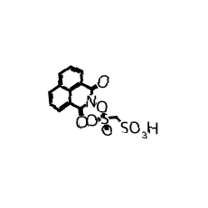 O=C1c2cccc3cccc(c23)C(=O)N1OS(=O)(=O)CS(=O)(=O)O